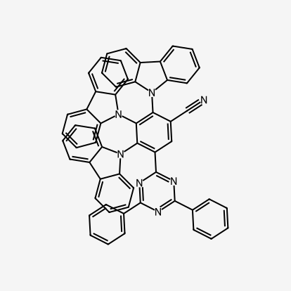 N#Cc1cc(-c2nc(-c3ccccc3)nc(-c3ccccc3)n2)c(-n2c3ccccc3c3ccccc32)c(-n2c3ccccc3c3ccccc32)c1-n1c2ccccc2c2ccccc21